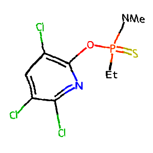 CCP(=S)(NC)Oc1nc(Cl)c(Cl)cc1Cl